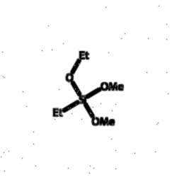 [CH2]C[Si](OC)(OC)OCC